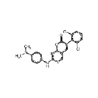 CN(C)c1ccc(Nc2ncc3cc(-c4c(Cl)cccc4Cl)c(=O)oc3n2)cc1